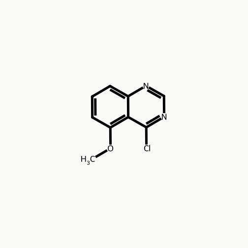 COc1cccc2ncnc(Cl)c12